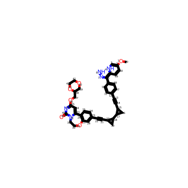 COC1=CN/C(=C(\N=N)c2ccc(C#CC3CC3C3CC3C#Cc3ccc4c(c3)OCCn3c-4cc(OCC4COCCO4)nc3=O)cc2)C=C1